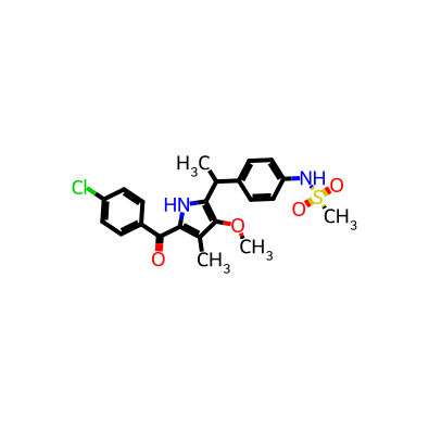 COc1c(C(C)c2ccc(NS(C)(=O)=O)cc2)[nH]c(C(=O)c2ccc(Cl)cc2)c1C